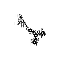 CC(C)(S)CNCC(CCCCCOc1ccc(C(=O)Nc2cc(C(=O)Oc3c(F)c(F)cc(F)c3F)cc(C(=O)Oc3c(F)c(F)cc(F)c3F)c2)cc1)NCC(C)(C)S